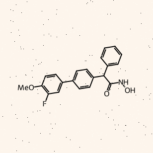 COc1ccc(-c2ccc(C(C(=O)NO)c3ccccc3)cc2)cc1F